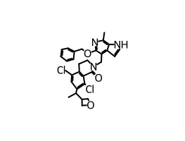 Cc1nc(OCc2ccccc2)c(CN2CCc3c(Cl)cc(C(C)C4COC4)c(Cl)c3C2=O)c2cc[nH]c12